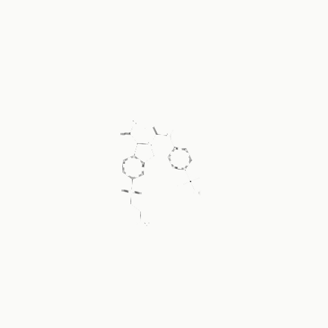 COCCS(=O)(=O)c1ccc2c(c1)CN(C(=O)N(C)c1ccc(C(O)(C(F)(F)F)C(F)(F)F)cc1)C2C(N)=O